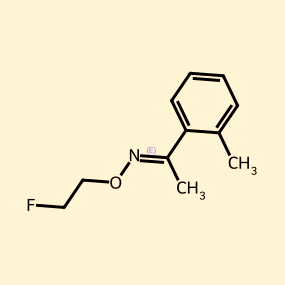 C/C(=N\OCCF)c1ccccc1C